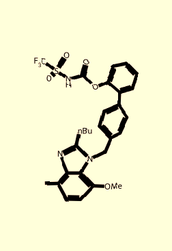 CCCCc1nc2c(C)ccc(OC)c2n1Cc1ccc(-c2ccccc2OC(=O)NS(=O)(=O)C(F)(F)F)cc1